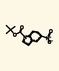 CC(C)(C)OC(=O)n1ccc2cc([N+](=O)[O-])ccc21